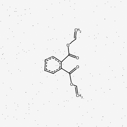 C=COC(=O)c1ccccc1C(=O)OC=C